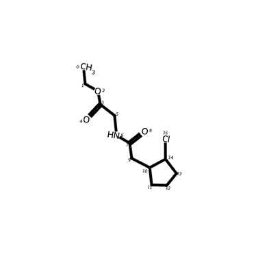 CCOC(=O)CNC(=O)CC1CCCC1Cl